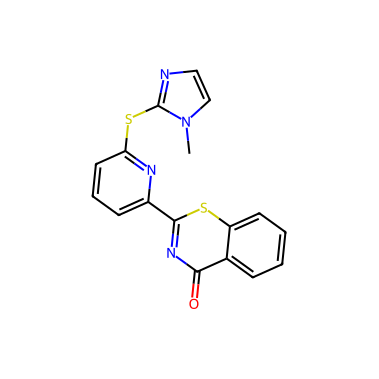 Cn1ccnc1Sc1cccc(-c2nc(=O)c3ccccc3s2)n1